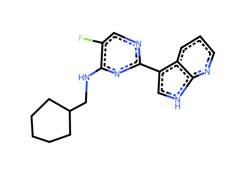 Fc1cnc(-c2c[nH]c3ncccc23)nc1NCC1CCCCC1